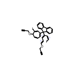 C#CCO/C=C/C=C(\C=C/I)C1(C2=CC=CC(OCC#C)C(I)=C2)c2ccccc2-c2ccccc21